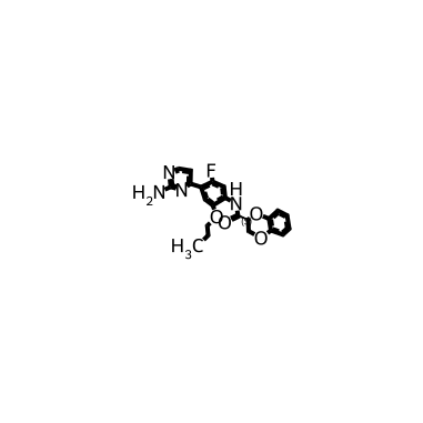 CCCOc1cc(-c2ccnc(N)n2)c(F)cc1NC(=O)[C@@H]1COc2ccccc2O1